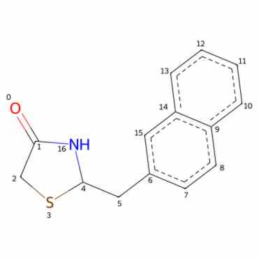 O=C1CSC(Cc2ccc3ccccc3c2)N1